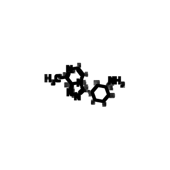 Cc1nccn2c([C@H]3CCC[C@@H](N)C3)nnc12